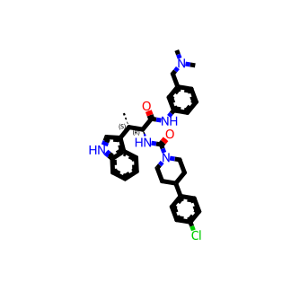 C[C@@H](c1c[nH]c2ccccc12)[C@@H](NC(=O)N1CCC(c2ccc(Cl)cc2)CC1)C(=O)Nc1cccc(CN(C)C)c1